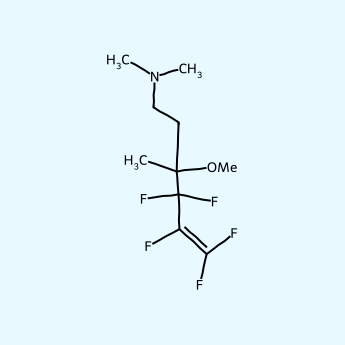 COC(C)(CCN(C)C)C(F)(F)C(F)=C(F)F